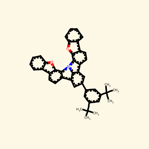 CC(C)(C)c1cc(-c2cc3c4ccc5c6ccccc6oc5c4n4c3c(c2)c2ccc3c5ccccc5oc3c24)cc(C(C)(C)C)c1